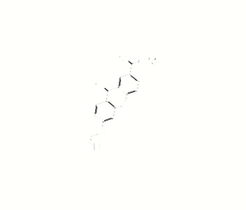 COC(=O)c1ccc2oc3cc(OCS)ccc3c(=O)c2c1